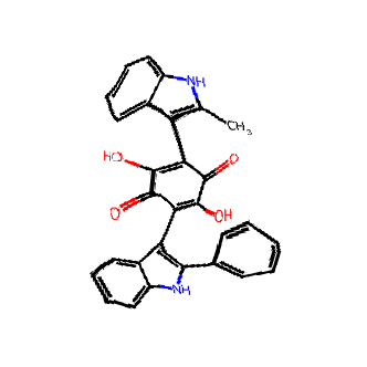 Cc1[nH]c2ccccc2c1C1=C(O)C(=O)C(c2c(-c3ccccc3)[nH]c3ccccc23)=C(O)C1=O